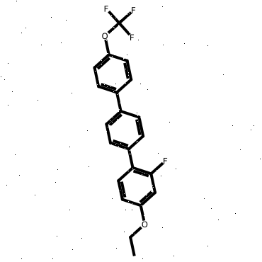 CCOc1ccc(-c2ccc(-c3ccc(OC(F)(F)F)cc3)cc2)c(F)c1